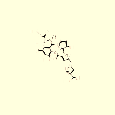 C=C(C)c1cn(Cc2cc(C(=O)Nc3c(C)cc(Cl)cc3C(=O)N(C)N(C)C(=O)OC)n(-c3ncccc3Cl)n2)nn1